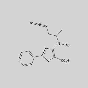 CC(=O)N(c1cc(-c2ccccc2)sc1C(=O)O)C(C)CN=[N+]=[N-]